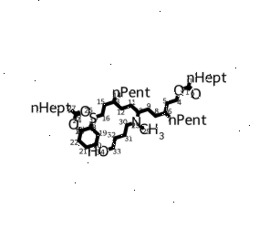 CCCCCCCC(=O)OCCC(CCCCC)CCC(CCC(CCCCC)CCSC1CCCC[C@H]1OC(=O)CCCCCCC)N(C)CCCCO